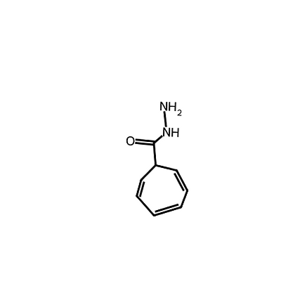 NNC(=O)C1C=CC=CC=C1